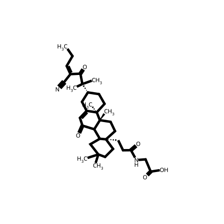 CC/C=C(/C#N)C(=O)C(C)(C)[C@@H]1CC[C@]2(C)C(=CC(=O)C3C4CC(C)(C)CC[C@]4(CCC(=O)NCC(=O)O)CC[C@]32C)C1